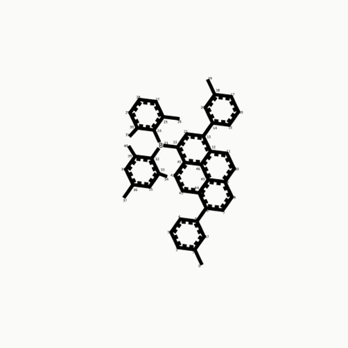 Cc1cccc(-c2ccc3ccc4c(-c5cccc(C)c5)cc(B(c5c(C)cccc5C)c5c(C)cc(C)cc5C)c5ccc2c3c54)c1